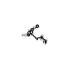 CN(CCCCC[C@@H]1Cc2cc(OCc3ccccc3)ccc2[C@H]2CC[C@@]3(C)C(=CC[C@@H]3O)[C@H]12)CCCS(=O)(=O)CCCC(F)(F)C(F)(F)F